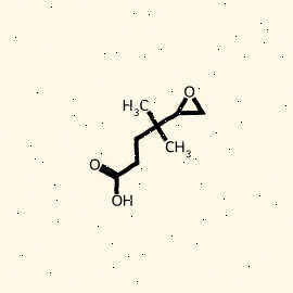 CC(C)(CCC(=O)O)C1CO1